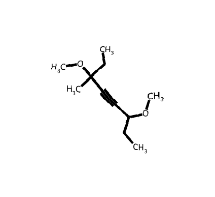 CCC(C#CC(C)(CC)OC)OC